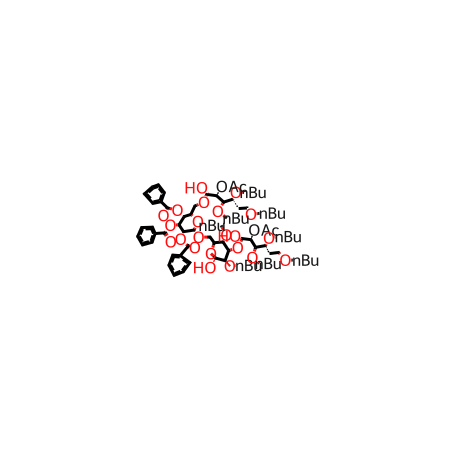 CCCCOCC[C@@H](OCCCC)C(OCCCC)[C@@H](OC(C)=O)[C@H](O)OCC1O[C@H](OCC2O[C@@H](O)[C@H](OCCCC)C(O[C@@H](O)[C@H](OC(C)=O)C(OCCCC)[C@@H](CCOCCCC)OCCCC)[C@@H]2OCCCC)[C@H](OC(=O)c2ccccc2)C(OC(=O)c2ccccc2)[C@@H]1OC(=O)c1ccccc1